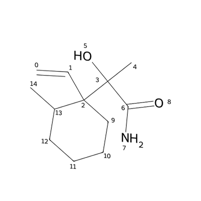 C=CC1(C(C)(O)C(N)=O)CCCCC1C